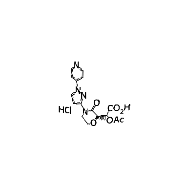 CC(=O)O[C@@H](C(=O)O)[C@H]1OCCN(c2ccn(-c3ccncc3)n2)C1=O.Cl